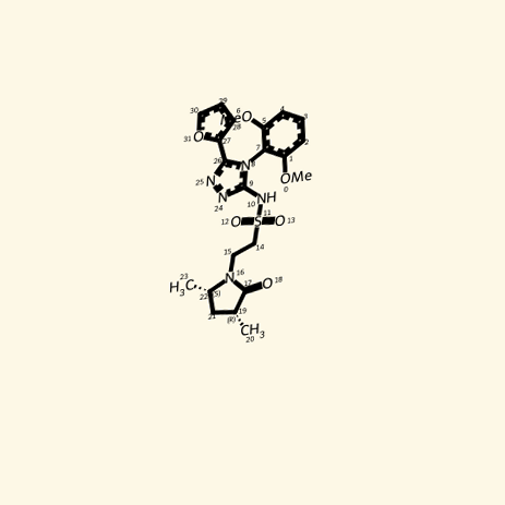 COc1cccc(OC)c1-n1c(NS(=O)(=O)CCN2C(=O)[C@H](C)C[C@@H]2C)nnc1-c1ccco1